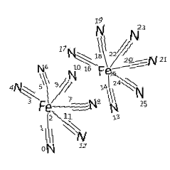 N#[C][Fe]([C]#N)([C]#N)([C]#N)([C]#N)[C]#N.N#[C][Fe]([C]#N)([C]#N)([C]#N)([C]#N)[C]#N